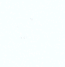 CC(=O)OC(=O)C(C)O.[NaH].[NaH]